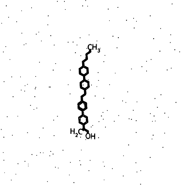 C=C(CO)C1CCC(c2ccc(CCC3CCC(C4CCC(CCCCC)CC4)CC3)cc2)CC1